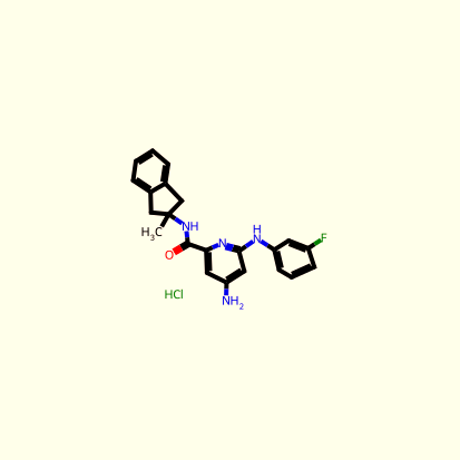 CC1(NC(=O)c2cc(N)cc(Nc3cccc(F)c3)n2)Cc2ccccc2C1.Cl